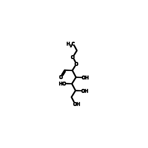 CCOOC(C=O)C(O)C(O)C(O)CO